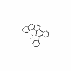 C[Si]1(C)c2ccccc2-c2c3c(c4ccc5c(c4c21)C1=C(CCC=C1)C5)C=CCC3